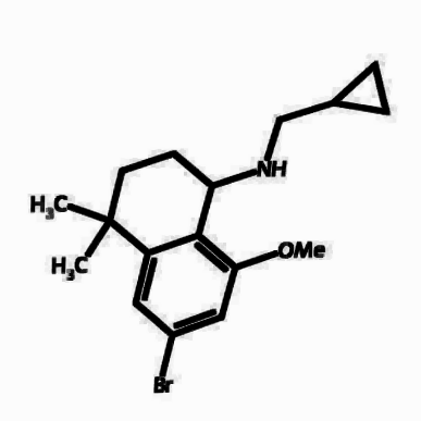 COc1cc(Br)cc2c1C(NCC1CC1)CCC2(C)C